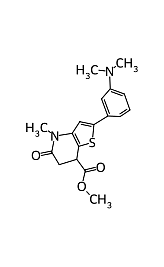 COC(=O)C1CC(=O)N(C)c2cc(-c3cccc(N(C)C)c3)sc21